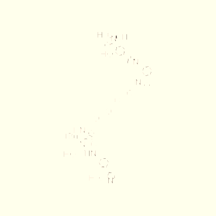 Cc1ncsc1-c1ccc(CNC(=O)[C@@H]2C[C@@H](O)CN2C(=O)[C@@H](NC(=O)CCOCCOCCOCCOCCNC(=O)c2ccc3c(c2)[C@H](N2CC=C(c4ccc(C(=O)N(C)C)c(O)c4)O2)CC3)C(C)(C)C)cc1